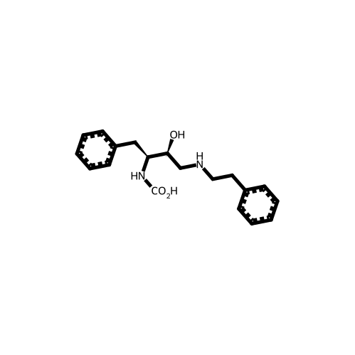 O=C(O)N[C@@H](Cc1ccccc1)[C@@H](O)CNCCc1ccccc1